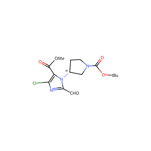 COC(=O)c1c(Cl)nc(C=O)n1[C@@H]1CCN(C(=O)OC(C)(C)C)C1